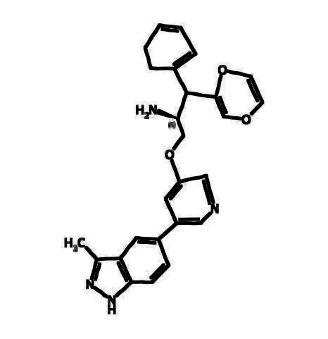 Cc1n[nH]c2ccc(-c3cncc(OC[C@@H](N)C(C4=CC=CCC4)C4=COC=CO4)c3)cc12